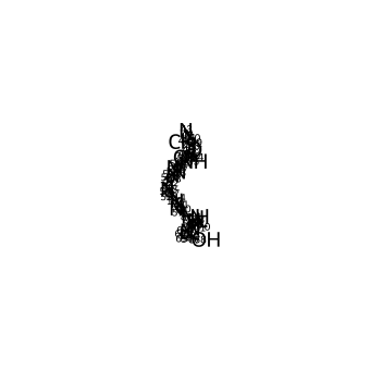 CCc1cnn2c(NCc3ccc(N(C)CC4CCN(CC5CCN(c6ncc(C(=O)NC7C(C)(C)C(Oc8ccc(C#N)c(Cl)c8)C7(C)C)cn6)CC5)CC4)nc3)cc(N3CCCC[C@H]3CCO)nc12